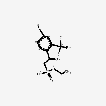 CCOP(=O)(O)CC(=O)c1ccc(F)cc1C(F)(F)F